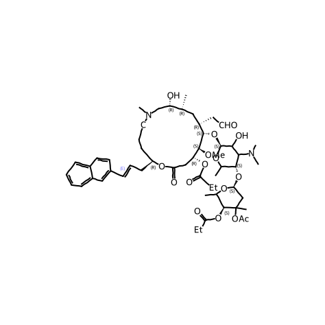 CCC(=O)O[C@@H]1CC(=O)O[C@@H](C/C=C/c2ccc3ccccc3c2)CCCN(C)C[C@H](O)[C@H](C)C[C@H](CC=O)[C@H](O[C@@H]2OC(C)[C@@H](O[C@H]3CC(C)(OC(C)=O)[C@@H](OC(=O)CC)C(C)O3)C(N(C)C)C2O)[C@H]1OC